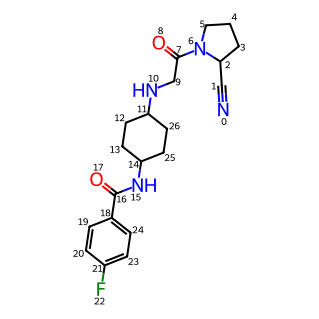 N#CC1CCCN1C(=O)CNC1CCC(NC(=O)c2ccc(F)cc2)CC1